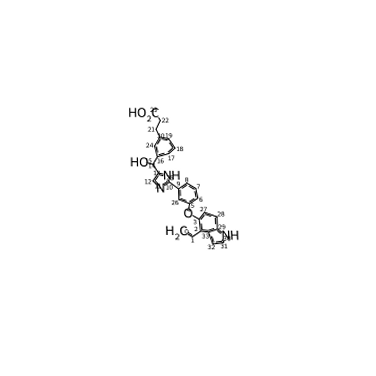 C=Cc1c(Oc2cccc(-c3ncc(C(O)c4cccc(CCC(=O)O)c4)[nH]3)c2)ccc2[nH]ccc12